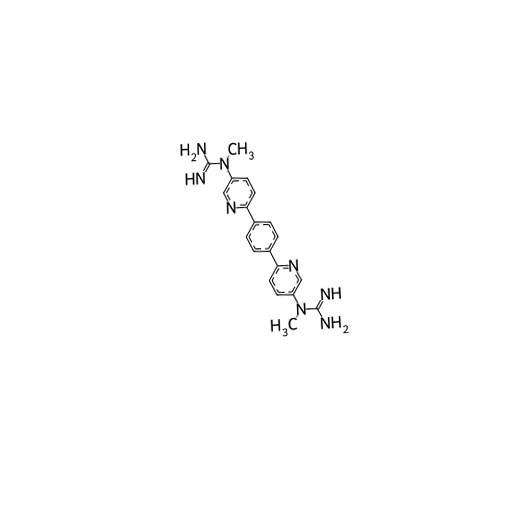 CN(C(=N)N)c1ccc(-c2ccc(-c3ccc(N(C)C(=N)N)cn3)cc2)nc1